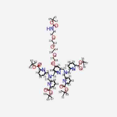 CC(C)(C)OC(=O)NCCOCCOCCOCCOc1cc(CN(Cc2cccc(C(=O)OC(C)(C)C)n2)Cc2cccc(C(=O)OC(C)(C)C)n2)nc(CN(Cc2cccc(C(=O)OC(C)(C)C)n2)Cc2cccc(C(=O)OC(C)(C)C)n2)c1